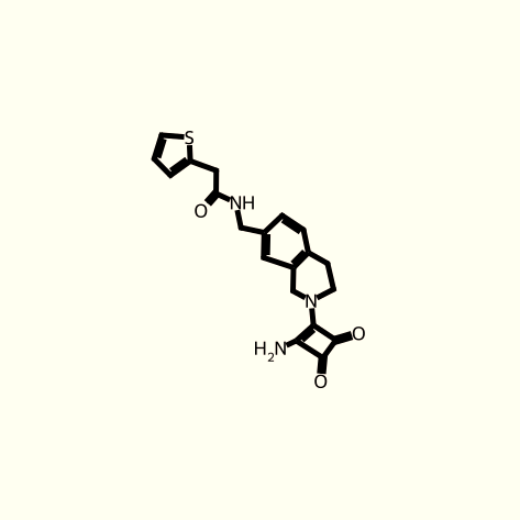 Nc1c(N2CCc3ccc(CNC(=O)Cc4cccs4)cc3C2)c(=O)c1=O